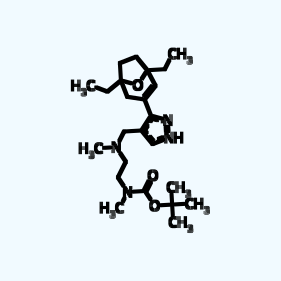 CCC12C=C(c3n[nH]cc3CN(C)CCN(C)C(=O)OC(C)(C)C)CC(CC)(CC1)O2